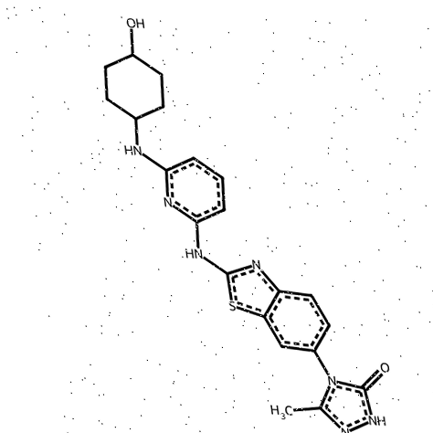 Cc1n[nH]c(=O)n1-c1ccc2nc(Nc3cccc(NC4CCC(O)CC4)n3)sc2c1